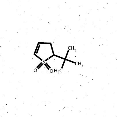 CC(C)(C)C1CC=CS1(=O)=O